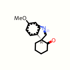 C/N=C\[C@]1(c2ccc(OC)cc2)CCCCC1=O